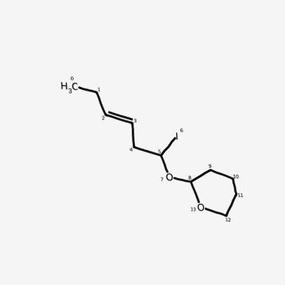 CCC=CCC(I)OC1CCCCO1